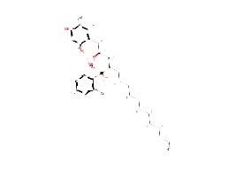 CCCCCCCCCCCCC(CC(=O)Cc1cc(Cl)c(O)cc1O)C(OC)(OC)c1ccccc1